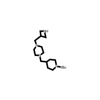 CC(C)(C)N1CCC(CN2CCN(CC3CNC3)CC2)CC1